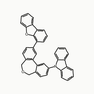 c1ccc2c(c1)oc1c(-c3ccc4c(c3)-c3cc(-n5c6ccccc6c6ccccc65)ccc3COC4)cccc12